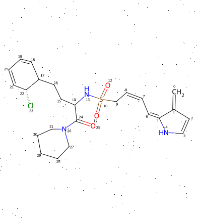 C=c1cc[nH]/c1=C/C=C\CS(=O)(=O)NC(CCC1C=CC=C[C@H]1Cl)C(=O)N1CCCCC1